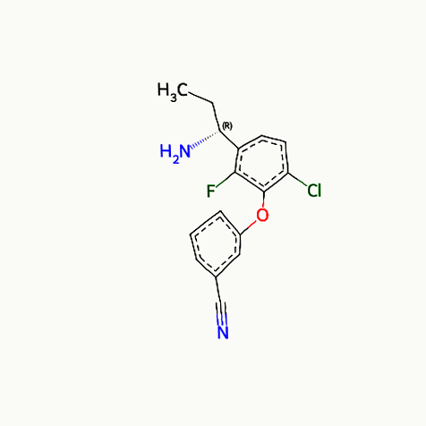 CC[C@@H](N)c1ccc(Cl)c(Oc2cccc(C#N)c2)c1F